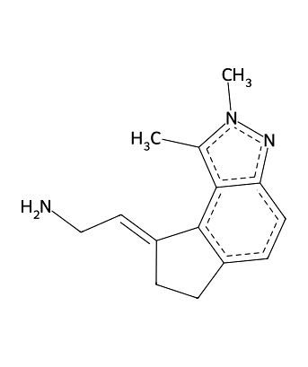 Cc1c2c3c(ccc2nn1C)CCC3=CCN